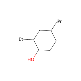 CCC1CC(C(C)C)CCC1O